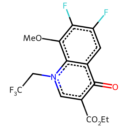 CCOC(=O)c1cn(CC(F)(F)F)c2c(OC)c(F)c(F)cc2c1=O